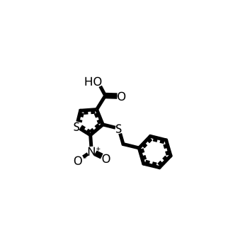 O=C(O)c1csc([N+](=O)[O-])c1SCc1ccccc1